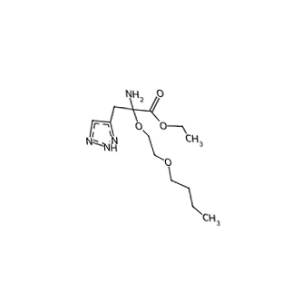 CCCCOCCOC(N)(Cc1cn[nH]n1)C(=O)OCC